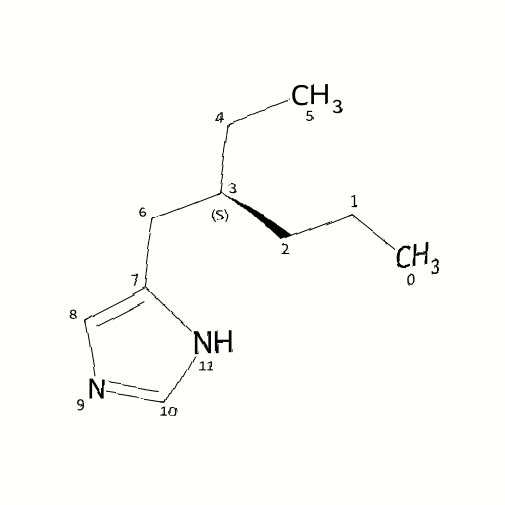 CCC[C@H](CC)Cc1cnc[nH]1